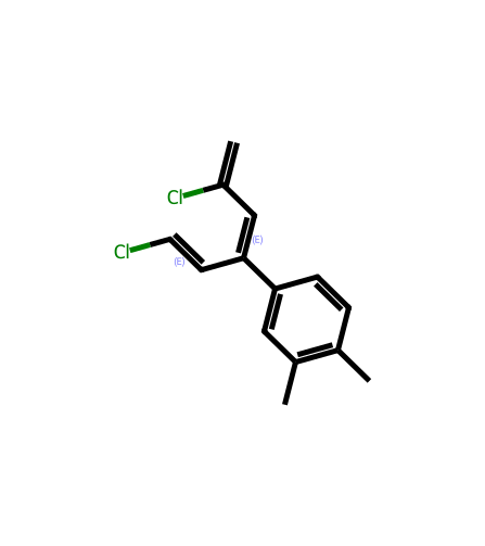 C=C(Cl)/C=C(\C=C\Cl)c1ccc(C)c(C)c1